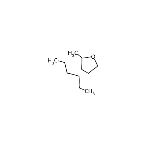 CC1CCCO1.CCCCCC